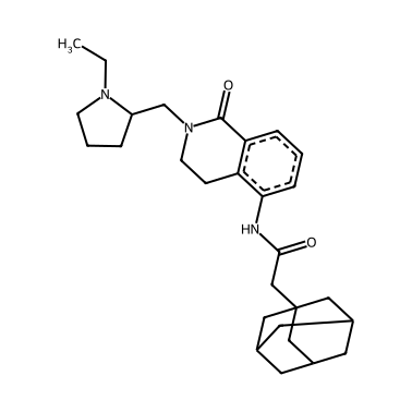 CCN1CCCC1CN1CCc2c(NC(=O)CC34CC5CC(CC(C5)C3)C4)cccc2C1=O